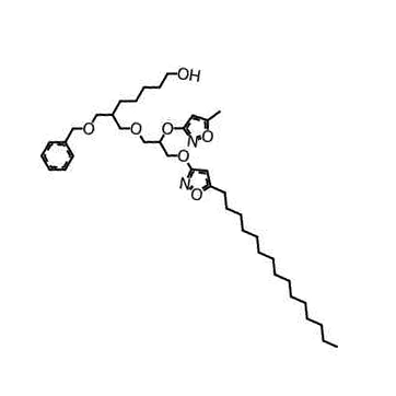 CCCCCCCCCCCCCCCc1cc(OCC(COCC(CCCCCO)COCc2ccccc2)Oc2cc(C)on2)no1